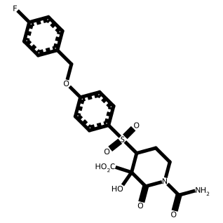 NC(=O)N1CCC(S(=O)(=O)c2ccc(OCc3ccc(F)cc3)cc2)C(O)(C(=O)O)C1=O